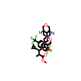 COC(=O)C(C)C(c1ccc2c(c1)CC(C1[C@@H]3COC[C@H]1CN([C@H](C)c1cc(C(F)(F)F)ccc1C(F)(F)F)C3)OC2)C1CC1